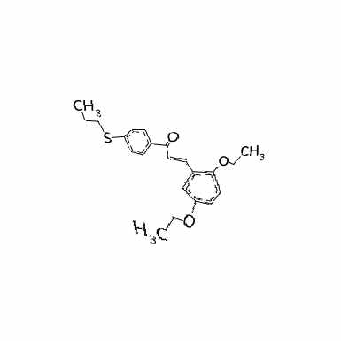 CCCSc1ccc(C(=O)C=Cc2cc(OCC)ccc2OCC)cc1